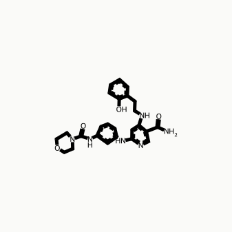 NC(=O)c1cnc(Nc2cccc(NC(=O)N3CCOCC3)c2)cc1NCCc1ccccc1O